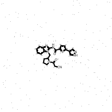 N#CCC(=O)N1CCCC1Cn1c(NC(=O)c2ccc(-c3cn[nH]c3)s2)nc2ccccc21